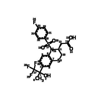 CC(O)(c1ccc2c(c1)SC[C@H](CC(=O)O)N2S(=O)(=O)c1ccc(F)cc1)C(F)(F)F